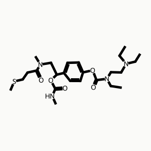 CCN(CC)CCN(CC)C(=O)Oc1ccc(C(CN(C)C(=O)CCSC)OC(=O)NC)cc1